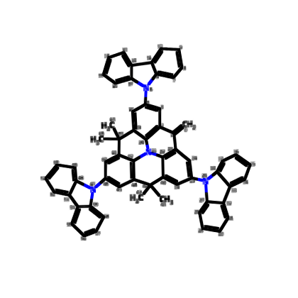 C=C1c2cc(-n3c4ccccc4c4ccccc43)cc3c2N2c4c1cc(-n1c5ccccc5c5ccccc51)cc4C(C)(C)c1cc(-n4c5ccccc5c5ccccc54)cc(c12)C3(C)C